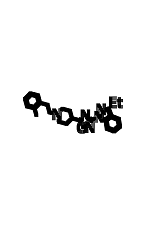 CCc1nn(-c2noc(C3CCN(CCc4ccccc4C)CC3)n2)c2ccccc12